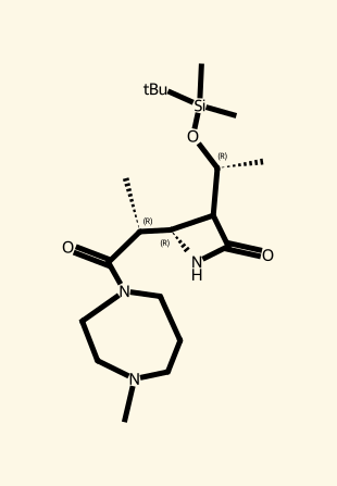 C[C@@H](O[Si](C)(C)C(C)(C)C)C1C(=O)N[C@@H]1[C@@H](C)C(=O)N1CCCN(C)CC1